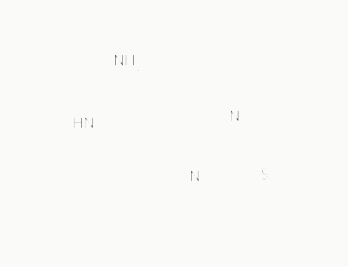 CSc1ncc(C(=N)N)cn1